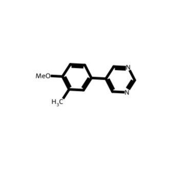 COc1ccc(-c2cncnc2)cc1C